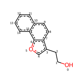 OCCc1coc2c1ccc1ccccc12